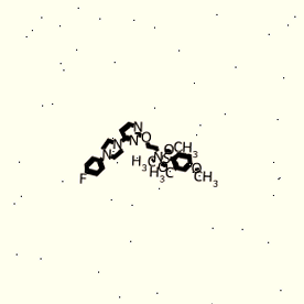 COc1cc(C)c(S(=O)(=O)N(C)CCOc2nccc(N3CCN(c4ccc(F)cc4)CC3)n2)c(C)c1